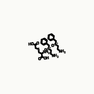 NC(CSCC(=O)O)C(=O)O.NCC[S+]([O-])Cc1ccccc1.NCC[S+]([O-])Cc1ccccc1